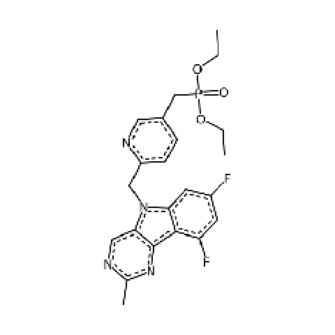 CCOP(=O)(Cc1ccc(Cn2c3cnc(C)nc3c3c(F)cc(F)cc32)nc1)OCC